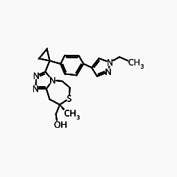 CCn1cc(-c2ccc(C3(c4nnc5n4CCS[C@](C)(CO)C5)CC3)cc2)cn1